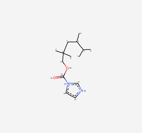 CC(C)C(C)CC(C)(C)COC(=O)n1ccnc1